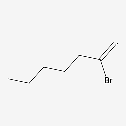 [CH]=C(Br)CCCCC